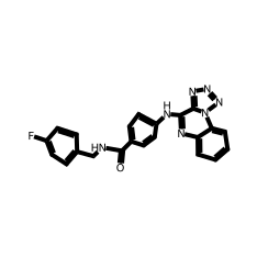 O=C(NCc1ccc(F)cc1)c1ccc(Nc2nc3ccccc3n3nnnc23)cc1